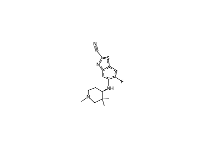 CN1CC[C@@H](Nc2cc3nc(C#N)sc3cc2F)C(C)(C)C1